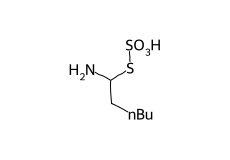 CCCCCC(N)SS(=O)(=O)O